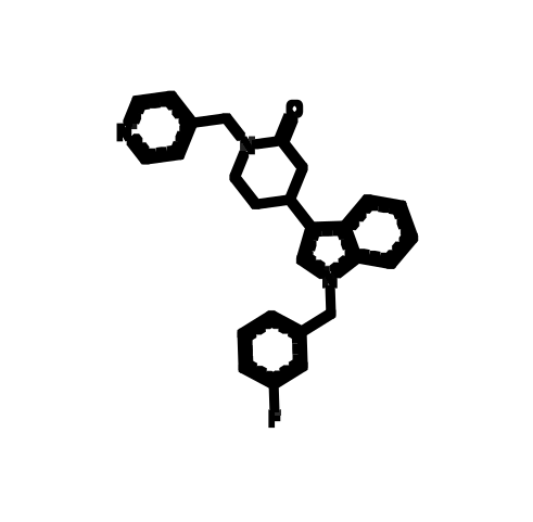 O=C1CC(c2cn(Cc3cccc(F)c3)c3ccccc23)CCN1Cc1ccncc1